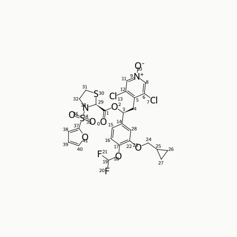 O=C(O[C@@H](Cc1c(Cl)c[n+]([O-])cc1Cl)c1ccc(OC(F)F)c(OCC2CC2)c1)[C@@H]1SCCN1S(=O)(=O)c1ccco1